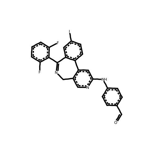 O=Cc1ccc(Nc2cc3c(cn2)CN=C(c2c(F)cccc2F)c2cc(I)ccc2-3)cc1